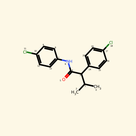 CC(C)C(C(=O)Nc1ccc(Cl)cc1)c1ccc(Cl)cc1